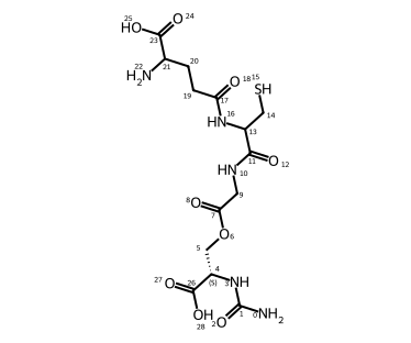 NC(=O)N[C@@H](COC(=O)CNC(=O)C(CS)NC(=O)CCC(N)C(=O)O)C(=O)O